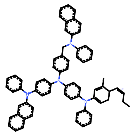 CC/C=C\C1CC=C(N(c2ccccc2)c2ccc(N(c3ccc(CN(c4ccccc4)c4ccc5ccccc5c4)cc3)c3ccc(N(c4ccccc4)c4ccc5ccccc5c4)cc3)cc2)C=C1C